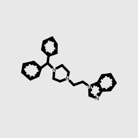 c1ccc(C(c2ccccc2)N2CCN(CCn3cnc4ccccc43)CC2)cc1